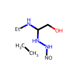 CC.CCNC(CO)NNN=O